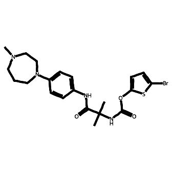 CN1CCCN(c2ccc(NC(=O)C(C)(C)NC(=O)Oc3ccc(Br)s3)cc2)CC1